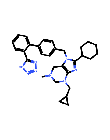 CN1Cc2c(nc(C3CCCCC3)n2Cc2ccc(-c3ccccc3-c3nnn[nH]3)cc2)N(CC2CC2)C1